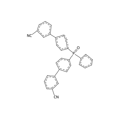 N#Cc1cccc(-c2ccc(P(=O)(c3ccccc3)c3ccc(-c4cccc(C#N)c4)cc3)cc2)c1